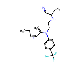 C=C(/C=C\CC)N(CCNC(C)C=N)c1ccc(C(F)(F)F)cc1